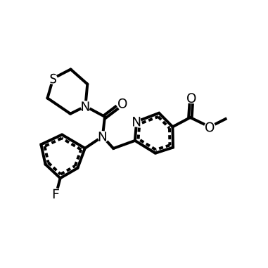 COC(=O)c1ccc(CN(C(=O)N2CCSCC2)c2cccc(F)c2)nc1